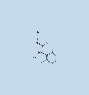 Cc1cccc(C)c1NC([S-])=NC#N.[Na+]